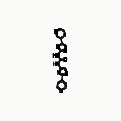 O=C(Nc1csc(-c2ccncc2)n1)Nc1nc(-c2cccnc2)cs1